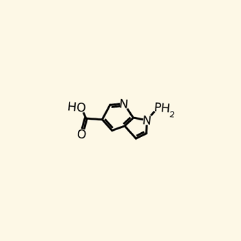 O=C(O)c1cnc2c(ccn2P)c1